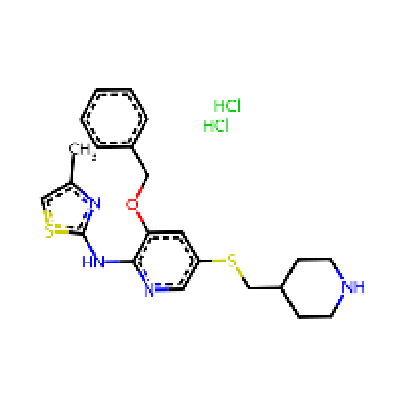 Cc1csc(Nc2ncc(SCC3CCNCC3)cc2OCc2ccccc2)n1.Cl.Cl